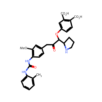 COc1cc(CC(=O)C(Oc2ccc(C(=O)O)c(C(=O)O)c2)C2CCCN2)ccc1NC(=O)Nc1ccccc1C